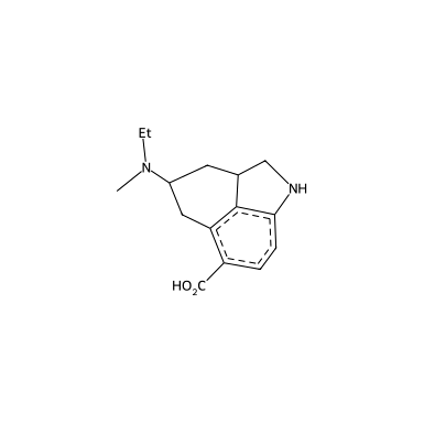 CCN(C)C1Cc2c(C(=O)O)ccc3c2C(CN3)C1